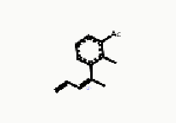 C=C/C=C(/C)c1cccc(C(C)=O)c1C